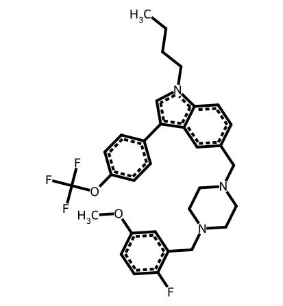 CCCCn1cc(-c2ccc(OC(F)(F)F)cc2)c2cc(CN3CCN(Cc4cc(OC)ccc4F)CC3)ccc21